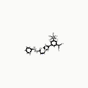 O=C(/C=C\n1cnc(-c2cc(C(F)F)cc(S(F)(F)(F)(F)F)c2)n1)NNc1ccccn1